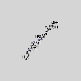 CC/C=C\C=C\C(O)CC(O)\C=C/C=C\C=C\C(O)CCCCCC(=O)OCC(O)CO